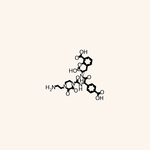 NCCN1CCN(C(=O)N[C@H](C(=O)N[C@H]2Cc3cccc(C(=O)O)c3OB2O)c2ccc(C(=O)O)cc2)C(=O)C1=O